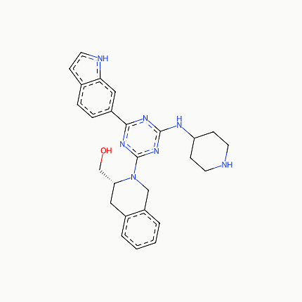 OC[C@H]1Cc2ccccc2CN1c1nc(NC2CCNCC2)nc(-c2ccc3cc[nH]c3c2)n1